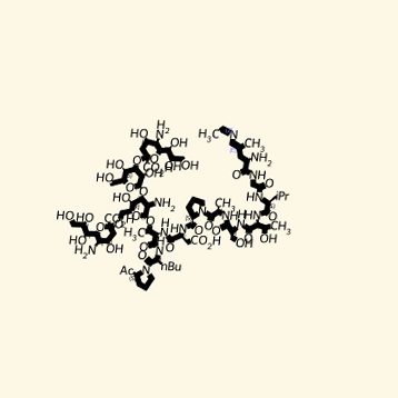 C/C=N\C=C(/C)C[C@H](N)C(=O)NCC(=O)N[C@H](C(=O)N[C@H](C(=O)N[C@@H](CO)C(=O)N[C@@H](C)C(=O)N1CCC[C@H]1C(=O)N[C@@H](CC(=O)O)C(=O)N[C@H](C(=O)N[C@@H](CCCC)C(=O)N1CCC[C@H]1C(C)=O)C(C)O[C@H]1OC(CO[C@]2(C(=O)O)C[C@@H](O)[C@@H](N)C([C@H](O)[C@H](O)CO)O2)[C@H](O)[C@H](O[C@@H]2OC(CO)[C@H](O)C(O[C@]3(C(=O)O)C[C@@H](O)[C@@H](N)C([C@H](O)[C@H](O)CO)O3)[C@@H]2O)C1N)C(C)O)C(C)C